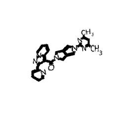 Cc1cc(C)nc(-n2cc3c(c2)CN(C(=O)c2c(-c4ccccn4)nn4ccccc24)C3)n1